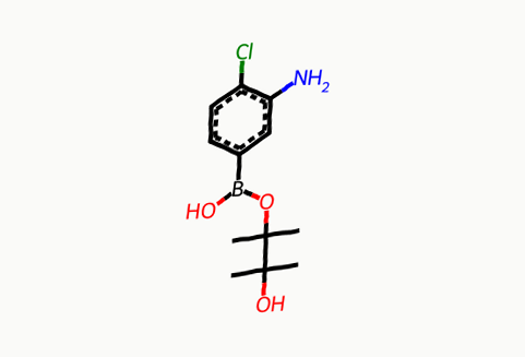 CC(C)(O)C(C)(C)OB(O)c1ccc(Cl)c(N)c1